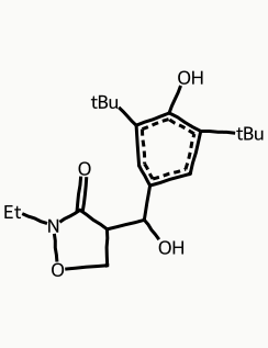 CCN1OCC(C(O)c2cc(C(C)(C)C)c(O)c(C(C)(C)C)c2)C1=O